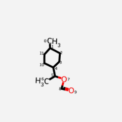 CC1CCC(C(C)OC=O)CC1